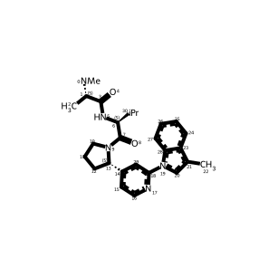 CN[C@@H](C)C(=O)N[C@H](C(=O)N1CCC[C@H]1c1ccnc(-n2cc(C)c3ccccc32)c1)C(C)C